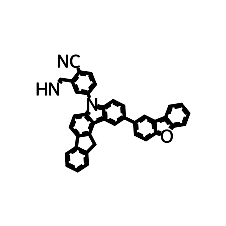 N#Cc1ccc(-n2c3ccc(-c4ccc5oc6ccccc6c5c4)cc3c3c4c(ccc32)-c2ccccc2C4)cc1C=N